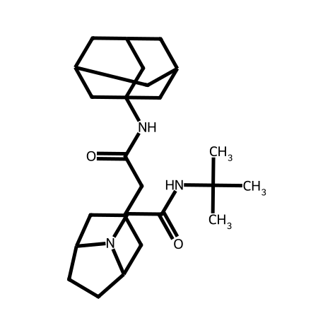 CC(C)(C)NC(=O)CN1C2CCC1CC(CC(=O)NC13CC4CC(CC(C4)C1)C3)C2